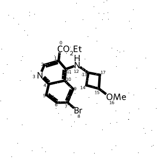 CCOC(=O)c1cnc2ccc(Br)cc2c1NC1CC(OC)C1